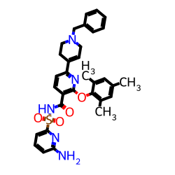 Cc1cc(C)c(Oc2nc(C3=CCN(Cc4ccccc4)CC3)ccc2C(=O)NS(=O)(=O)c2cccc(N)n2)c(C)c1